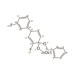 CCCCCCCCOC1(OCc2ccccc2)C=CC(c2cccc(F)c2)C=C1F